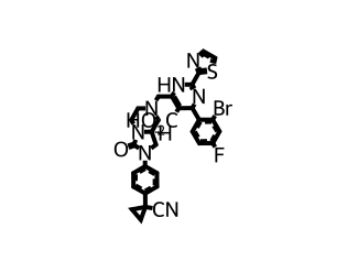 N#CC1(c2ccc(N3C[C@@H]4CN(CC5=C(C(=O)O)C(c6ccc(F)cc6Br)N=C(c6nccs6)N5)CCN4C3=O)cc2)CC1